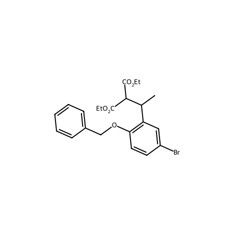 CCOC(=O)C(C(=O)OCC)C(C)c1cc(Br)ccc1OCc1ccccc1